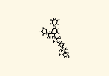 O=C(Nc1ncc(S(=O)(=O)c2nnn[nH]2)s1)Nc1ccc(N2CCOCC2)cc1C(=O)C1CCCC1